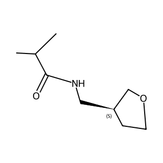 CC(C)C(=O)NC[C@@H]1CCOC1